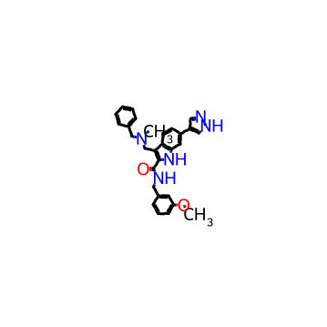 COc1cccc(CNC(=O)c2[nH]c3cc(-c4cn[nH]c4)ccc3c2CN(C)Cc2ccccc2)c1